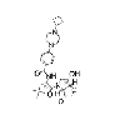 CC(C)(C)C[C@H](NC(=O)c1ccc(N2CCN(C3CCC3)CC2)cc1)C(=O)N1C[C@H](O)[C@H]2OCC(=O)[C@H]21